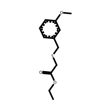 CCOC(=O)CSCc1cccc(OC)c1